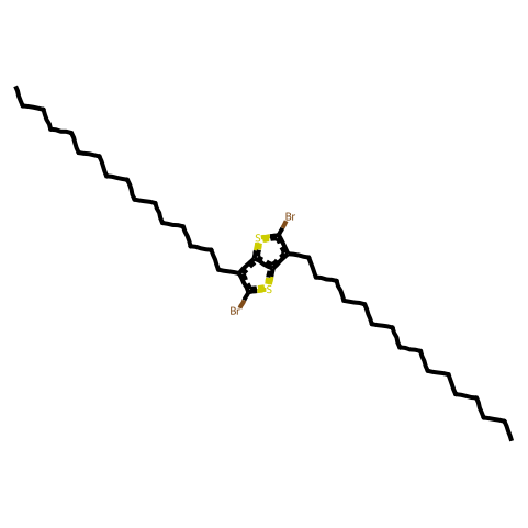 CCCCCCCCCCCCCCCCc1c(Br)sc2c(CCCCCCCCCCCCCCCC)c(Br)sc12